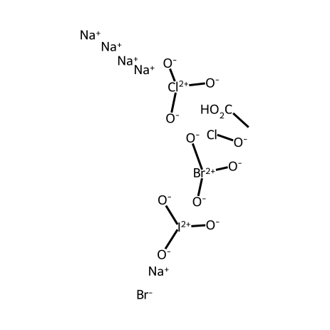 CC(=O)O.[Br-].[Na+].[Na+].[Na+].[Na+].[Na+].[O-]Cl.[O-][Br+2]([O-])[O-].[O-][Cl+2]([O-])[O-].[O-][I+2]([O-])[O-]